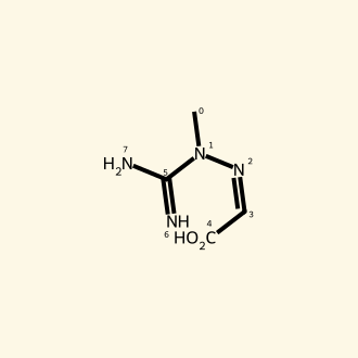 CN(/N=C\C(=O)O)C(=N)N